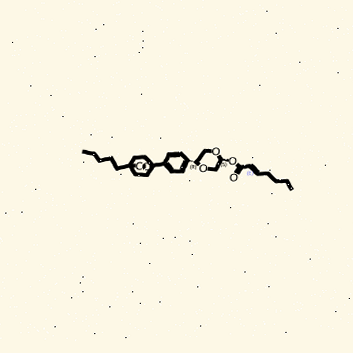 CCCC/C=C/C(=O)O[C@H]1CO[C@H](c2ccc(C34CCC(CCCCC)(CC3)CC4)cc2)CO1